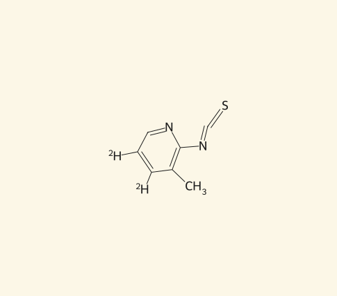 [2H]c1cnc(N=C=S)c(C)c1[2H]